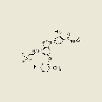 Cc1ccc(F)cc1Oc1cc(NCCC(F)(F)F)c2ncn(-c3ccc(C(=O)NC4CC4)c(C)c3)c2c1